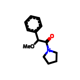 COC(C(=O)N1CCCC1)c1ccccc1